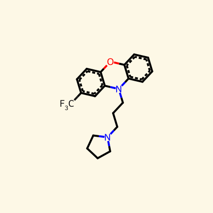 FC(F)(F)c1ccc2c(c1)N(CCCN1CCCC1)c1ccccc1O2